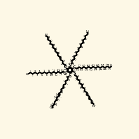 CCCCCCCCCCCCCCCCSc1c(SCCCCCCCCCCCCCCCC)c(SCCCCCCCCCCCCCCCC)c(SCCCCCCCCCCCCCCCC)c(SCCCCCCCCCCCCCCCC)c1SCCCCCCCCCCCCCCCC